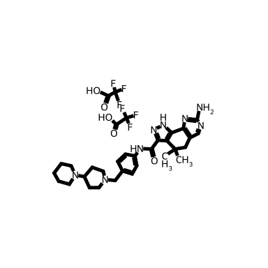 CC1(C)Cc2cnc(N)nc2-c2[nH]nc(C(=O)Nc3ccc(CN4CCC(N5CCCCC5)CC4)cc3)c21.O=C(O)C(F)(F)F.O=C(O)C(F)(F)F